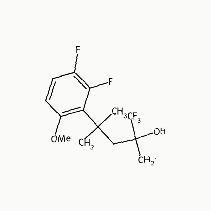 [CH2]C(O)(CC(C)(C)c1c(OC)ccc(F)c1F)C(F)(F)F